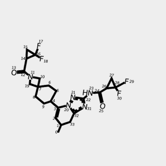 CC1C=C(C2CCC3(CC2)CN(C(=O)C2CC2(F)F)C3)n2nc(NC(=O)C3CC3(F)F)nc2C1